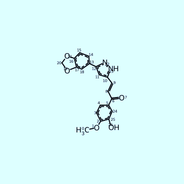 COc1ccc(C(=O)C=Cc2cc(-c3ccc4c(c3)OCO4)n[nH]2)cc1O